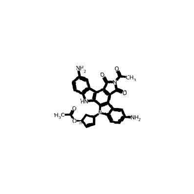 CC(=O)O[C@@H]1C=CC(n2c3ccc(N)cc3c3c4c(c5c6cc(N)ccc6[nH]c5c32)C(=O)N(C(C)=O)C4=O)C1